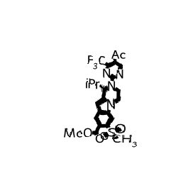 COC(=O)c1cc2cc3n(c2cc1S(C)(=O)=O)CCN(c1ncc(C(C)=O)c(C(F)(F)F)n1)[C@@H]3C(C)C